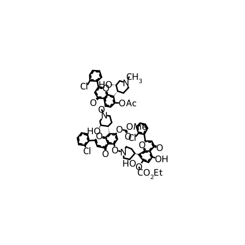 CCOC(=O)Oc1cc(O)c2c(=O)cc(-c3ccccc3Cl)oc2c1[C@H]1CCN(Oc2cc(OC(=O)OC)c([C@H]3CCN(Oc4cc(OC(C)=O)c([C@H]5CCN(C)C[C@H]5O)c5oc(-c6ccccc6Cl)cc(=O)c45)C[C@H]3O)c3oc(-c4ccccc4Cl)cc(=O)c23)C[C@H]1O